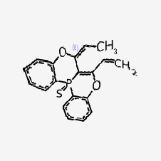 C=CC1=C2/C(=C\C)Oc3ccccc3P2(=S)c2ccccc2O1